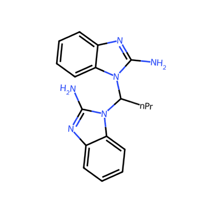 CCCC(n1c(N)nc2ccccc21)n1c(N)nc2ccccc21